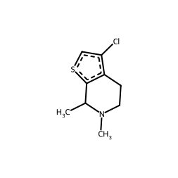 CC1c2scc(Cl)c2CCN1C